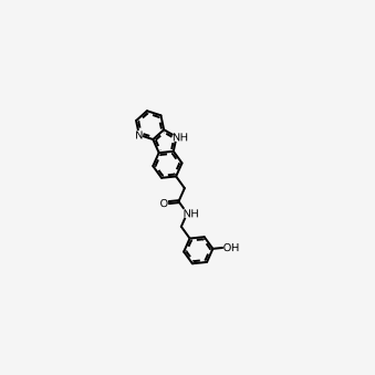 O=C(Cc1ccc2c(c1)[nH]c1cccnc12)NCc1cccc(O)c1